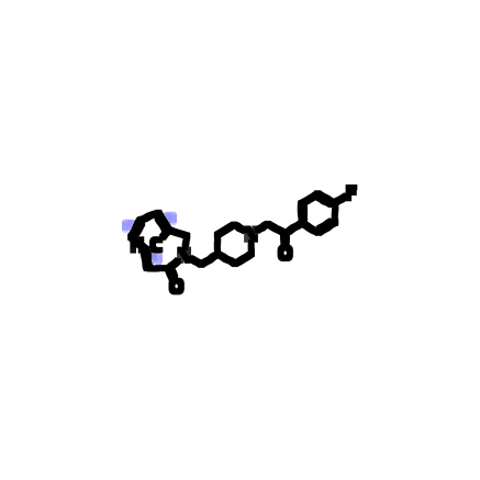 C\C1=C/C=C\C=C\C(=O)N(CC2CCN(CC(=O)c3ccc(F)cc3)CC2)C1